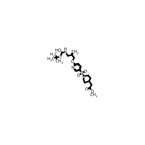 C=C(CNC(O)OC(C)(C)C)COc1ccc(S(=O)(=O)N2CCC(CC(=O)OC)CC2)cn1